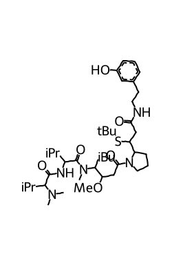 CCC(C)C(C(CC(=O)N1CCCC1C(CC(=O)NCCc1cccc(O)c1)SC(C)(C)C)OC)N(C)C(=O)C(NC(=O)C(C(C)C)N(C)C)C(C)C